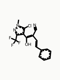 Cn1nc(C(F)(F)F)c(C(O)=C(C#N)C=Cc2ccccc2)c1Cl